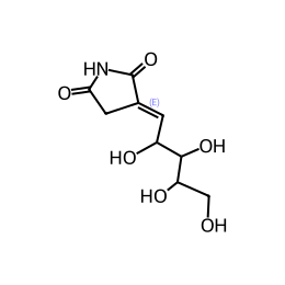 O=C1C/C(=C\C(O)C(O)C(O)CO)C(=O)N1